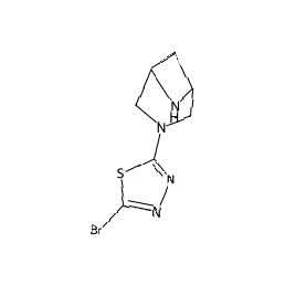 Brc1nnc(N2CC3CC(C2)N3)s1